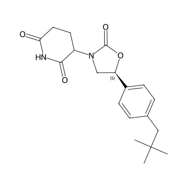 CC(C)(C)Cc1ccc([C@H]2CN(C3CCC(=O)NC3=O)C(=O)O2)cc1